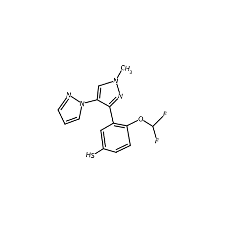 Cn1cc(-n2cccn2)c(-c2cc(S)ccc2OC(F)F)n1